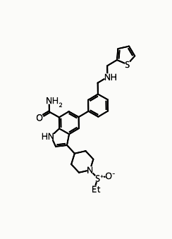 CC[S+]([O-])N1CCC(c2c[nH]c3c(C(N)=O)cc(-c4cccc(CNCc5cccs5)c4)cc23)CC1